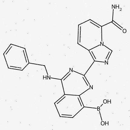 NC(=O)c1cccc2c(-c3nc(NCc4ccccc4)c4cccc(B(O)O)c4n3)ncn12